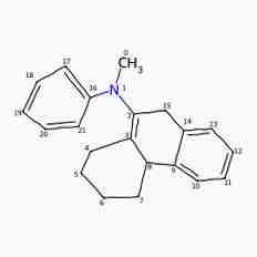 CN(C1=C2CCCCC2c2ccccc2C1)c1ccccc1